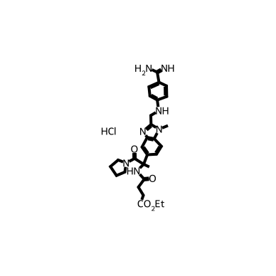 CCOC(=O)CCC(=O)NC(C)(C(=O)N1CCCC1)c1ccc2c(c1)nc(CNc1ccc(C(=N)N)cc1)n2C.Cl